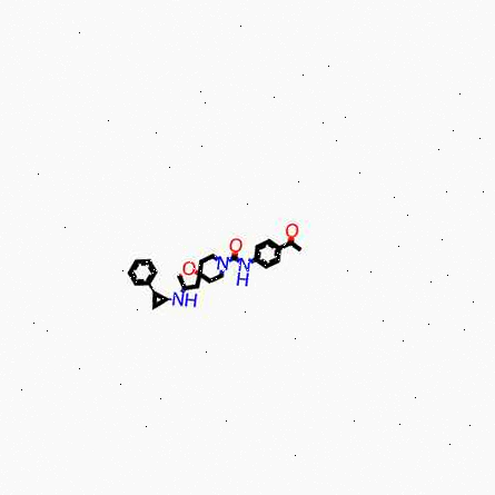 CC(=O)c1ccc(NC(=O)N2CCC3(CC2)CC(N[C@@H]2C[C@H]2c2ccccc2)CO3)cc1